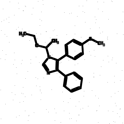 CCOC(C)n1cnc(-c2ccccc2)c1-c1ccc(SC)cc1